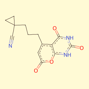 N#CC1(CCCc2cc(=O)oc3[nH]c(=O)[nH]c(=O)c23)CC1